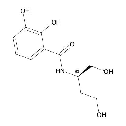 O=C(N[C@@H](CO)CCO)c1cccc(O)c1O